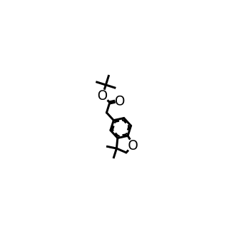 CC(C)(C)OC(=O)Cc1ccc2c(c1)C(C)(C)CO2